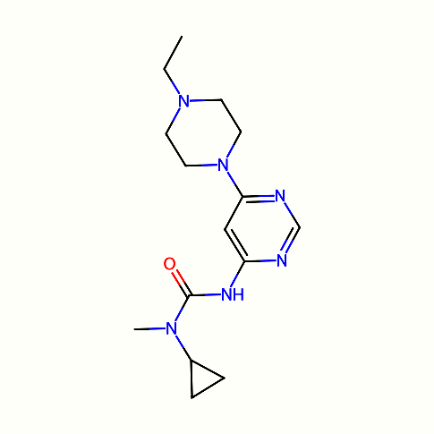 CCN1CCN(c2cc(NC(=O)N(C)C3CC3)ncn2)CC1